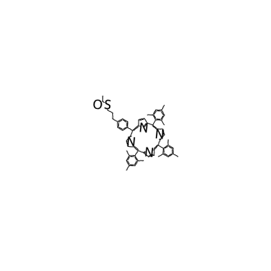 CC(=O)SCCCc1ccc(C2=C3C=CC(=N3)C(c3c(C)cc(C)cc3C)=C3C=CC(=N3)C(c3c(C)cc(C)cc3C)=C3C=CC(=N3)C(c3c(C)cc(C)cc3C)=C3C=CC2=N3)cc1